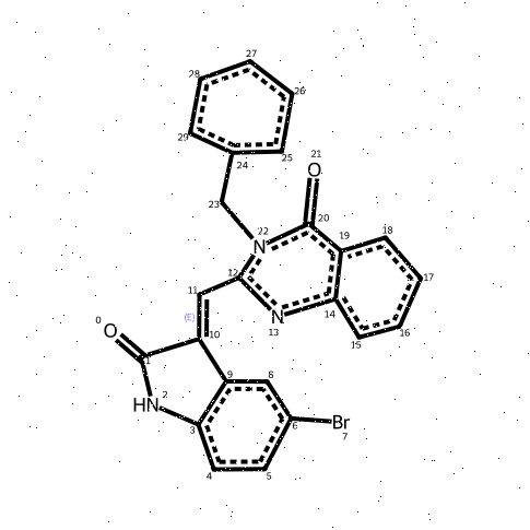 O=C1Nc2ccc(Br)cc2/C1=C\c1nc2ccccc2c(=O)n1Cc1ccccc1